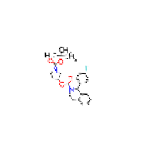 CC(C)(C)OC(=O)N1CC[C@H](OC(=O)N2CCc3ccccc3[C@@H]2c2ccc(F)cc2)C1